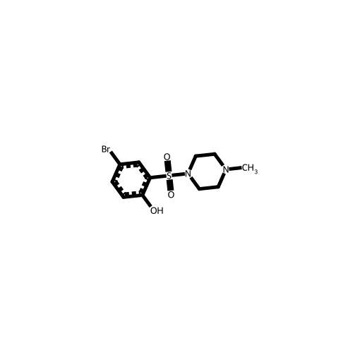 CN1CCN(S(=O)(=O)c2cc(Br)ccc2O)CC1